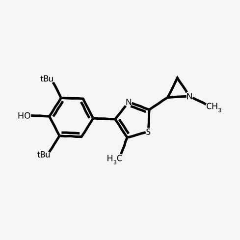 Cc1sc(C2CN2C)nc1-c1cc(C(C)(C)C)c(O)c(C(C)(C)C)c1